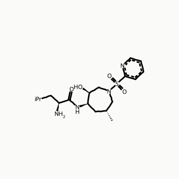 CC(C)C[C@H](N)C(=O)N[C@@H]1C[C@@H](C)CN(S(=O)(=O)c2ccccn2)C[C@@H]1O